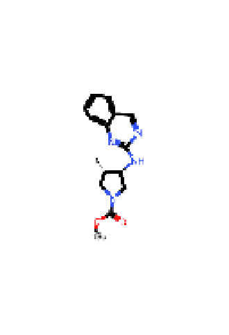 C[C@H]1CN(C(=O)OC(C)(C)C)C[C@@H]1Nc1ncc2ccccc2n1